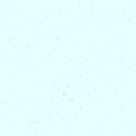 CC(C)(C)CCc1ccc(-n2nnc3ccccc32)cc1